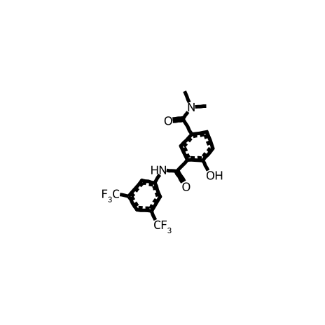 CN(C)C(=O)c1ccc(O)c(C(=O)Nc2cc(C(F)(F)F)cc(C(F)(F)F)c2)c1